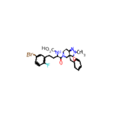 CN1N=C2CCN(C(=O)C(CCc3cc(Br)ccc3F)NC(=O)O)C[C@@]2(Cc2ccccc2)C1=O